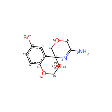 NC1=NC2(COC1)c1cc(Br)ccc1OCC21COC1